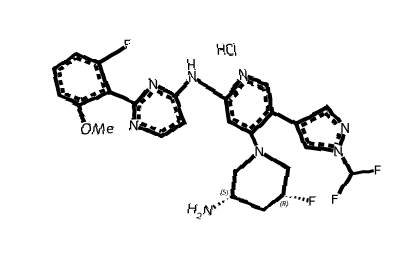 COc1cccc(F)c1-c1nccc(Nc2cc(N3C[C@@H](N)C[C@@H](F)C3)c(-c3cnn(C(F)F)c3)cn2)n1.Cl